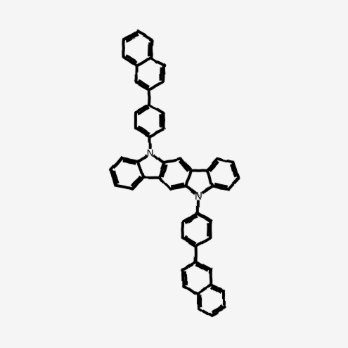 c1ccc2cc(-c3ccc(-n4c5ccccc5c5cc6c(cc54)c4ccccc4n6-c4ccc(-c5ccc6ccccc6c5)cc4)cc3)ccc2c1